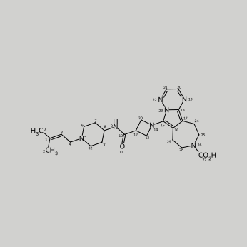 CC(C)=CCN1CCC(NC(=O)C2CN(c3c4c(c5nccnn35)CCN(C(=O)O)CC4)C2)CC1